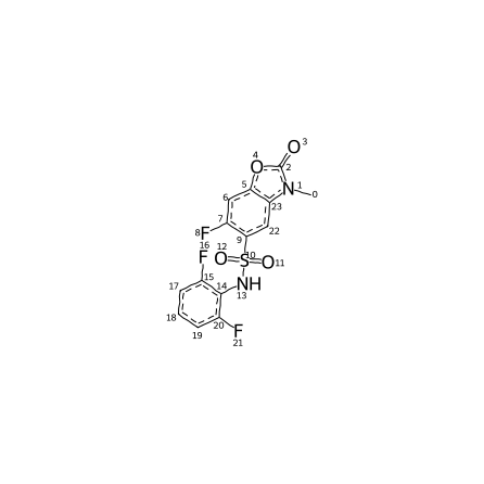 Cn1c(=O)oc2cc(F)c(S(=O)(=O)Nc3c(F)cccc3F)cc21